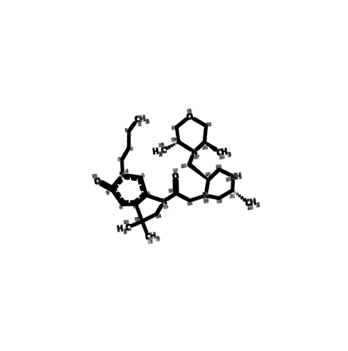 CCCCn1cc2c(cc1=O)C(C)(C)CN2C(=O)CN1C[C@@H](C)NC[C@@H]1CN1[C@H](C)COC[C@H]1C